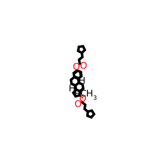 C[C@]12CC[C@@H]3c4ccc(OC(=O)CCC5CCCC5)cc4CC[C@H]3[C@@H]1CC[C@@H]2OC(=O)CCC1CCCC1